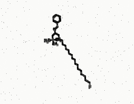 CC(C)(C)CC(COCCCCCCCCCCCCCCCCCF)OCc1ccccc1